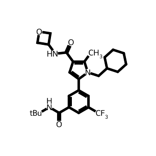 Cc1c(C(=O)NC2COC2)cc(-c2cc(C(=O)NC(C)(C)C)cc(C(F)(F)F)c2)n1CC1CCCCC1